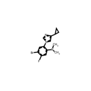 CN(C)c1cc(F)c(Br)cc1-n1cnc(C2CC2)c1